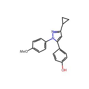 COc1ccc(-n2nc(C3CC3)cc2-c2ccc(O)cc2)cc1